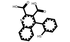 O=C(O)c1nc2ccccc2c(-c2ccccc2S)c1C(=O)O